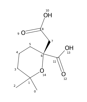 CC1(C)CCC[C@](CC(=O)O)(C(=O)O)O1